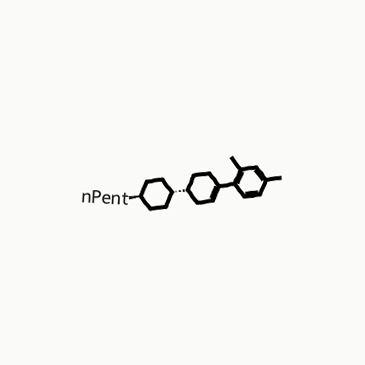 CCCCC[C@H]1CC[C@H](C2CC=C(c3ccc(C)cc3C)CC2)CC1